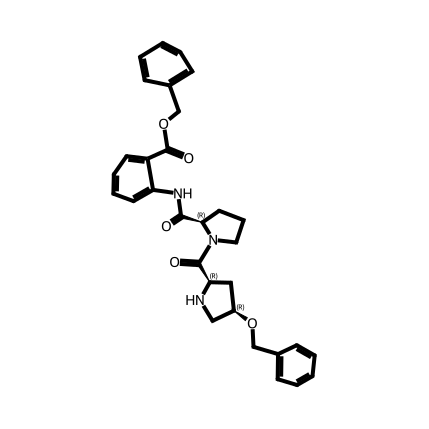 O=C(OCc1ccccc1)c1ccccc1NC(=O)[C@H]1CCCN1C(=O)[C@H]1C[C@@H](OCc2ccccc2)CN1